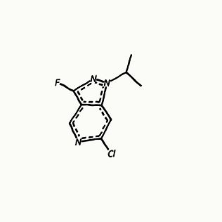 CC(C)n1nc(F)c2cnc(Cl)cc21